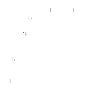 Nc1ccc(S(=O)(=O)Nc2cnc3c(Br)cccc3c2)cn1